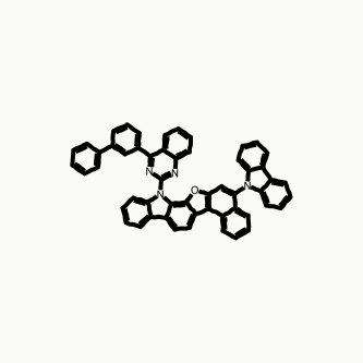 c1ccc(-c2cccc(-c3nc(-n4c5ccccc5c5ccc6c(oc7cc(-n8c9ccccc9c9ccccc98)c8ccccc8c76)c54)nc4ccccc34)c2)cc1